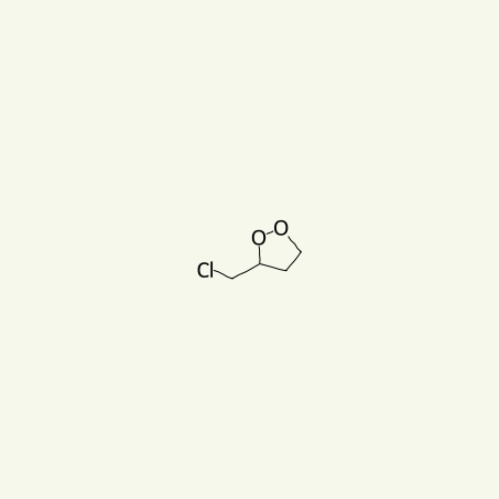 ClCC1CCOO1